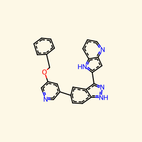 c1ccc(COc2cncc(-c3ccc4[nH]nc(-c5cc6ncccc6[nH]5)c4c3)c2)cc1